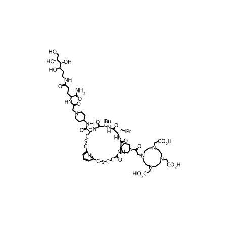 CC[C@H](C)[C@@H]1NC(=O)[C@H](CC(C)C)NC(=O)C2(CCN(C(=O)CN3CCN(CC(=O)O)CCN(CC(=O)O)CCN(CC(=O)O)CC3)CC2)NC(=O)CCSCc2cccc(n2)CSC[C@@H](C(=O)NC2CCN(CC(=O)NC(CCC(=O)NCC[C@@H](O)[C@H](O)[C@H](O)CO)C(N)=O)CC2)NC1=O